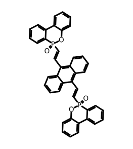 O=P1(/C=C/c2c3ccccc3c(/C=C/P3(=O)Oc4ccccc4-c4ccccc43)c3ccccc23)Oc2ccccc2-c2ccccc21